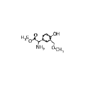 COCc1cc(C(N)C(=O)OC)ccc1O